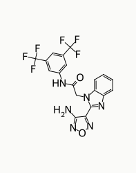 Nc1nonc1-c1nc2ccccc2n1CC(=O)Nc1cc(C(F)(F)F)cc(C(F)(F)F)c1